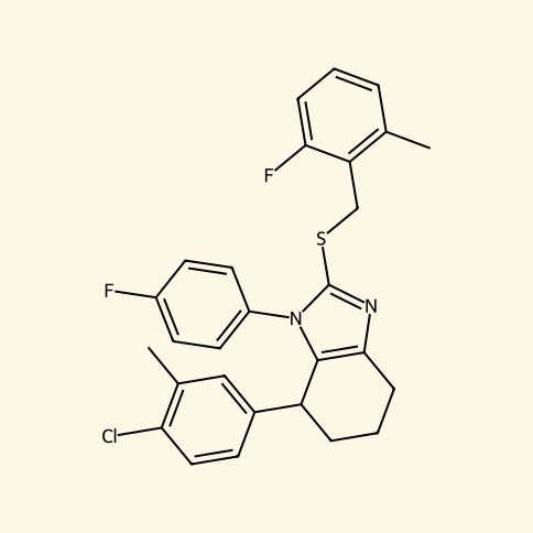 Cc1cc(C2CCCc3nc(SCc4c(C)cccc4F)n(-c4ccc(F)cc4)c32)ccc1Cl